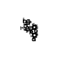 CCC(C)(C(=O)OC)C1CN(C2=Nc3cc(Cl)ccc3Oc3ccccc32)CCN1